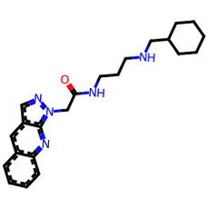 O=C(Cn1ncc2cc3ccccc3nc21)NCCCNCC1CCCCC1